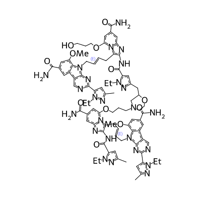 CCn1nc(C)cc1C(=O)Nc1nc2cc(C(N)=O)cc(OCCCN3CCOC(Cc4cc(C(=O)Nc5nc6cc(C(N)=O)cc(OCCCO)n6c5C/C=C/Cn5c6nc(-c7cc(C)nn7CC)ncc6c6cc(C(N)=O)cc(OC)c65)n(CC)n4)C3)n2c1C/C=C/Cn1c2nc(-c3cc(C)nn3CC)ncc2c2cc(C(N)=O)cc(OC)c21